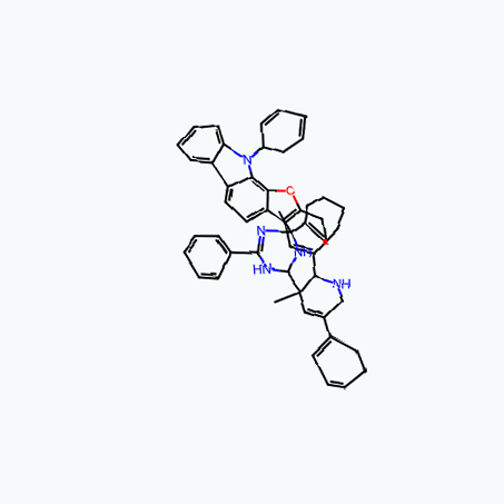 CC1(C2=CCCCC2)N=C(c2ccccc2)NC(C2(C)C=C(C3=CC=CCC3)CNC2C2=Cc3c(oc4c3ccc3c5ccccc5n(C5C=CC=CC5)c34)CC2)N1